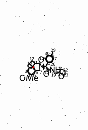 COc1ccccc1CN(C(=O)C1CCC1)C(C(=O)NCC1CCCO1)c1ccc(C)cc1